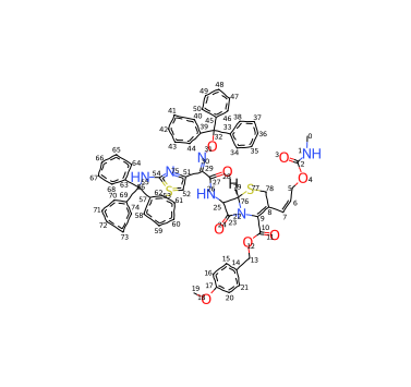 CNC(=O)OC/C=C\C1=C(C(=O)OCc2ccc(OC)cc2)N2C(=O)C(NC(=O)/C(=N\OC(c3ccccc3)(c3ccccc3)c3ccccc3)c3csc(NC(c4ccccc4)(c4ccccc4)c4ccccc4)n3)[C@@H]2SC1